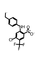 [CH2]Cc1ccc(Nc2cc(Cl)c(C(F)(F)F)cc2[N+](=O)[O-])cc1